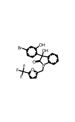 O=C1N(Cc2ccc(C(F)(F)F)o2)c2ccccc2C1(O)c1ccc(Br)cc1O